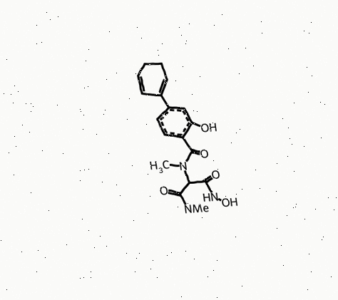 CNC(=O)C(C(=O)NO)N(C)C(=O)c1ccc(C2=CCCC=C2)cc1O